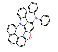 c1ccc(N(c2ccccc2)c2cc3oc4ccc5ccc6cccc7c6c5c4c3c3c2c2ccccc2n73)cc1